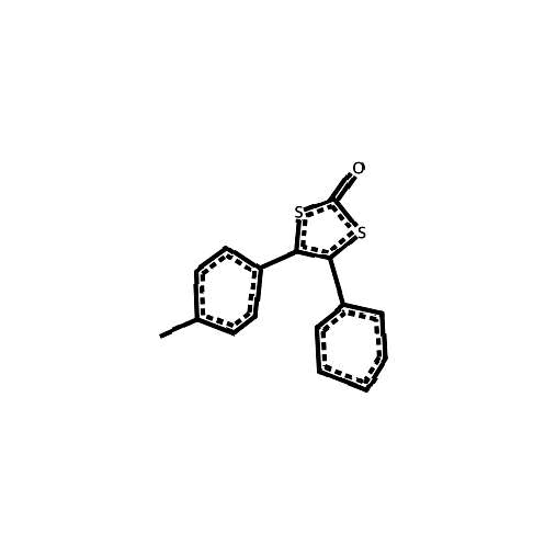 Cc1ccc(-c2sc(=O)sc2-c2ccccc2)cc1